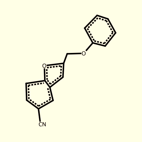 N#Cc1ccc2oc(COc3ccccc3)cc2c1